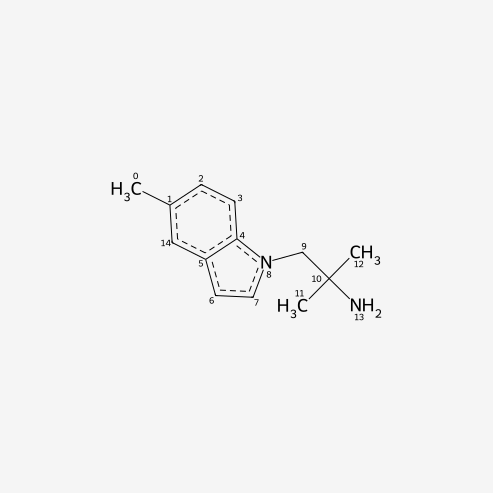 Cc1ccc2c(ccn2CC(C)(C)N)c1